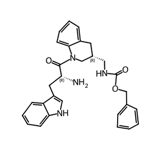 N[C@H](Cc1c[nH]c2ccccc12)C(=O)N1C[C@@H](CNC(=O)OCc2ccccc2)Cc2ccccc21